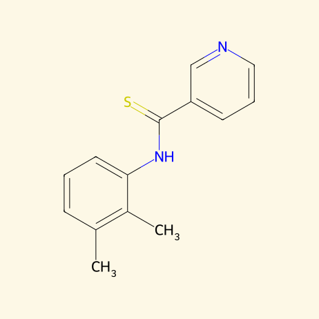 Cc1cccc(NC(=S)c2cccnc2)c1C